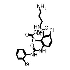 NCCCNS(=O)(=O)c1c(Cl)ccc(NC(=O)Nc2ccccc2Br)c1OC(=O)C(F)(F)F